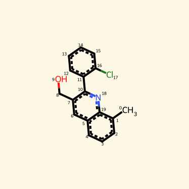 Cc1cccc2cc(CO)c(-c3ccccc3Cl)nc12